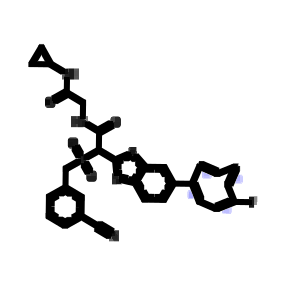 N#Cc1cccc(CS(=O)(=O)C(C(=O)NCC(=O)NC2CC2)c2nc3ccc(C4=C/C=C(F)\C=C\C=C\4)cc3s2)c1